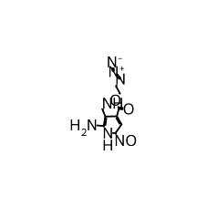 [N-]=[N+]=NCCOC(=O)C1=CC(N=O)NC(N)=C1C=N